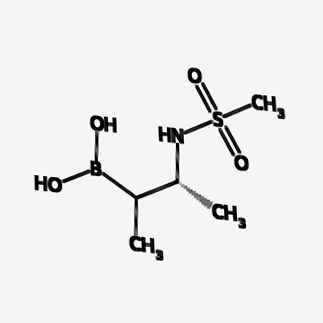 CC(B(O)O)[C@@H](C)NS(C)(=O)=O